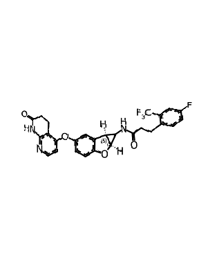 O=C1CCc2c(Oc3ccc4c(c3)[C@H]3C(NC(=O)CCc5ccc(F)cc5C(F)(F)F)[C@H]3O4)ccnc2N1